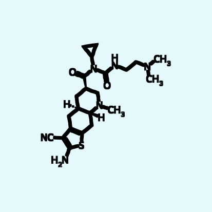 CN(C)CCNC(=O)N(C(=O)[C@@H]1C[C@@H]2Cc3c(sc(N)c3C#N)C[C@H]2N(C)C1)C1CC1